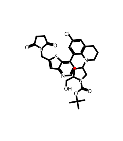 CC(C)(C)OC(=O)N1CC(N2CCCc3cc(Cl)cc(-c4ccnc5cc(CN6C(=O)CCC6=O)sc45)c32)CC1CO